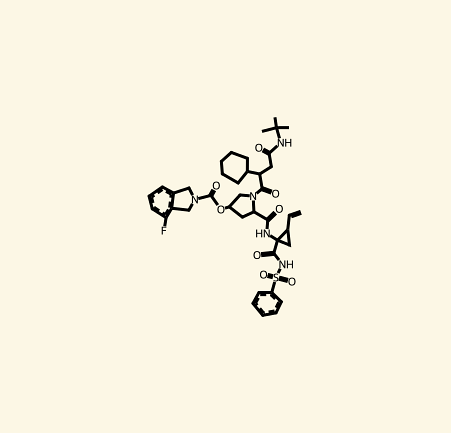 C=CC1CC1(NC(=O)C1CC(OC(=O)N2Cc3cccc(F)c3C2)CN1C(=O)C(CC(=O)NC(C)(C)C)C1CCCCC1)C(=O)NS(=O)(=O)c1ccccc1